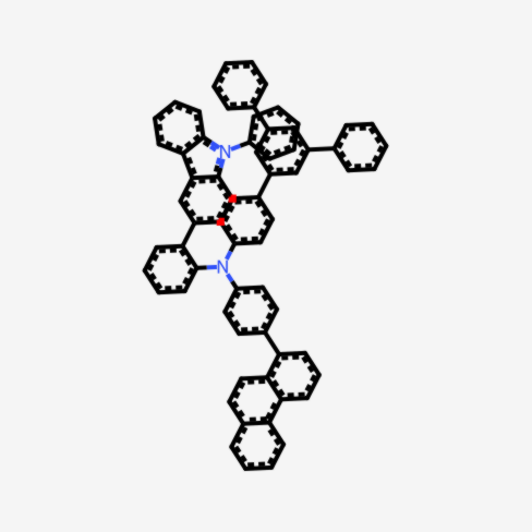 c1ccc(-c2cc(-c3ccccc3)cc(-c3ccc(N(c4ccc(-c5cccc6c5ccc5ccccc56)cc4)c4ccccc4-c4ccc5c(c4)c4ccccc4n5-c4ccccc4)cc3)c2)cc1